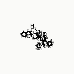 C[C@H](CC1CCCCC1)C(=O)N1CC[C@@](O)(Cn2cc(C(=O)N3CCCC3)c(-c3ccccc3)cc2=O)C(C)(C)C1